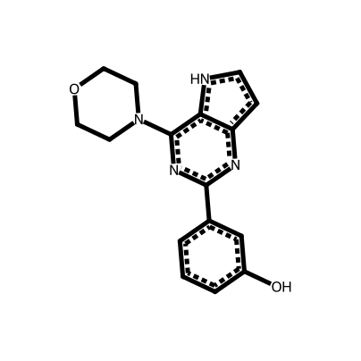 Oc1cccc(-c2nc(N3CCOCC3)c3[nH]ccc3n2)c1